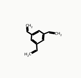 C=Cc1[c]c(C=C)cc(C=C)c1